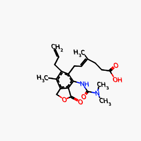 C=CCc1c(C)c2c(c(NC(=O)N(C)C)c1C/C=C(\C)CCC(=O)O)C(=O)OC2